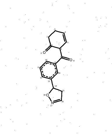 O=C1CCC=CC1C(=O)c1cccc(C2CC=NO2)c1